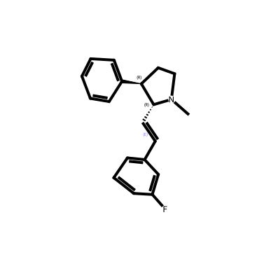 CN1CC[C@H](c2ccccc2)[C@H]1/C=C/c1cccc(F)c1